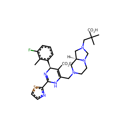 CCOC(=O)C1=C(CN2CCN3CN(CC(C)(C)C(=O)O)C[C@@H]3C2)NC(c2nccs2)=N[C@H]1c1cccc(F)c1C